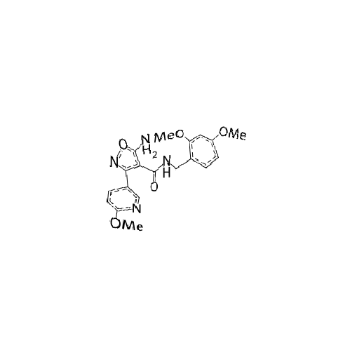 COc1ccc(CNC(=O)c2c(-c3ccc(OC)nc3)noc2N)c(OC)c1